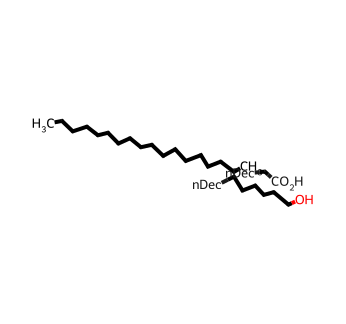 CCCCCCCCCCCC(=O)O.CCCCCCCCCCCCCCCCCC.CCCCCCCCCCCCCCCCO